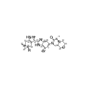 C[C@@H](C(=O)N(C)c1cc(Br)c2[nH]c(-c3n[nH]c4c3C[C@@H]3C[C@]3(C)C4)nc2c1)N1CCOCC1